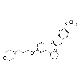 CSc1ccc(CC(=O)N2CCCC2c2cccc(OCCCN3CCOCC3)c2)cc1